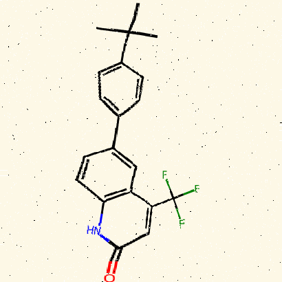 CC(C)(C)c1ccc(-c2ccc3[nH]c(=O)cc(C(F)(F)F)c3c2)cc1